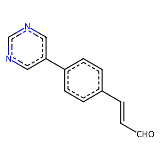 O=CC=Cc1ccc(-c2cncnc2)cc1